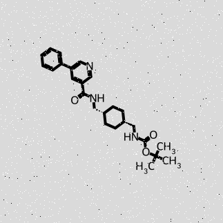 CC(C)(C)OC(=O)NC[C@H]1CC[C@H](CNC(=O)c2cncc(-c3ccccc3)c2)CC1